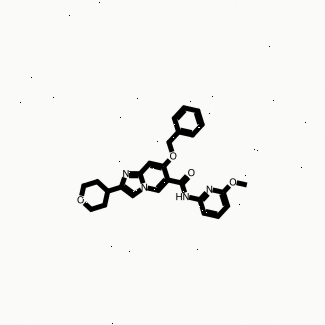 COc1cccc(NC(=O)c2cn3cc(C4CCOCC4)nc3cc2OCc2ccccc2)n1